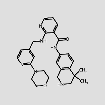 CC1(C)CNCc2cc(NC(=O)c3cccnc3NCc3ccnc(N4CCOCC4)c3)ccc21